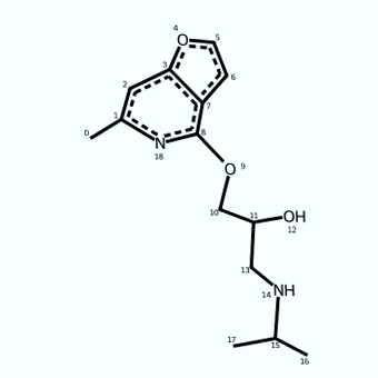 Cc1cc2occc2c(OCC(O)CNC(C)C)n1